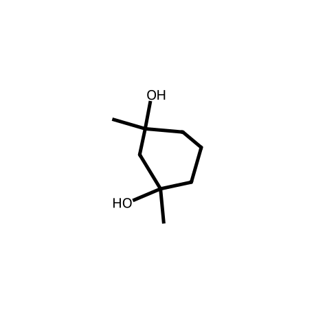 CC1(O)CCCC(C)(O)C1